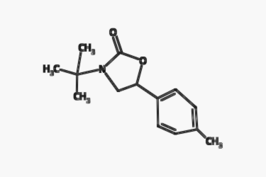 Cc1ccc(C2CN(C(C)(C)C)C(=O)O2)cc1